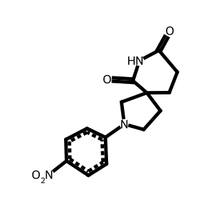 O=C1CCC2(CCN(c3ccc([N+](=O)[O-])cc3)C2)C(=O)N1